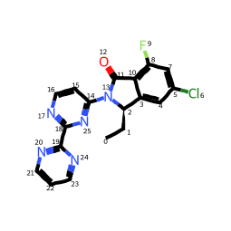 CC[C@@H]1c2cc(Cl)cc(F)c2C(=O)N1c1ccnc(-c2ncccn2)n1